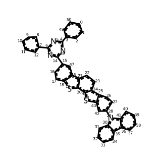 c1ccc(-c2nc(-c3ccccc3)nc(-c3ccc4sc5c(ccc6c7ccc(-n8c9ccccc9c9ccccc98)cc7sc65)c4c3)n2)cc1